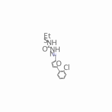 CCSNC(=O)N/N=C/c1ccc(-c2ccccc2Cl)o1